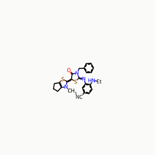 CCNc1ccc(C#N)cc1N=C1SC(=C2SC3=C(CCC3)N2C)C(=O)N1Cc1ccccc1